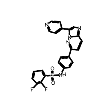 O=S(=O)(Nc1ccc(-c2ccc3ncc(-c4ccncc4)n3n2)cc1)c1cccc(F)c1F